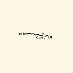 CCCCCCCCCCCCOCCO.[CaH2]